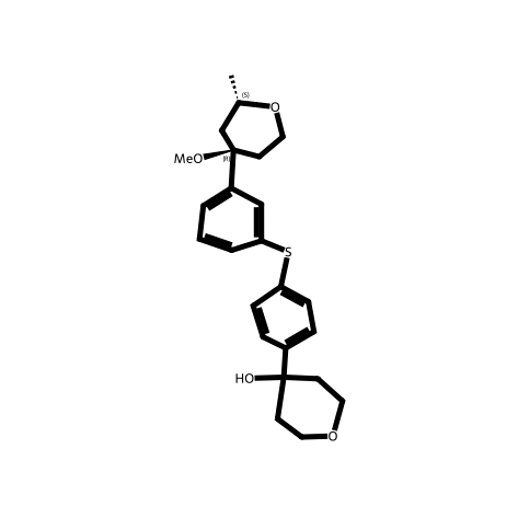 CO[C@]1(c2cccc(Sc3ccc(C4(O)CCOCC4)cc3)c2)CCO[C@@H](C)C1